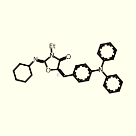 CCN1C(=O)/C(=C\c2ccc(N(c3ccccc3)c3ccccc3)cc2)OC1=NC1CCCCC1